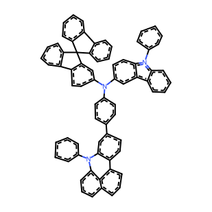 c1ccc(N2c3cc(-c4ccc(N(c5ccc6c(c5)C5(c7ccccc7-c7ccccc75)c5ccccc5-6)c5ccc6c(c5)c5ccccc5n6-c5ccccc5)cc4)ccc3-c3cccc4cccc2c34)cc1